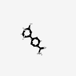 NC(=O)c1ccc(-c2cc(I)ncn2)cc1